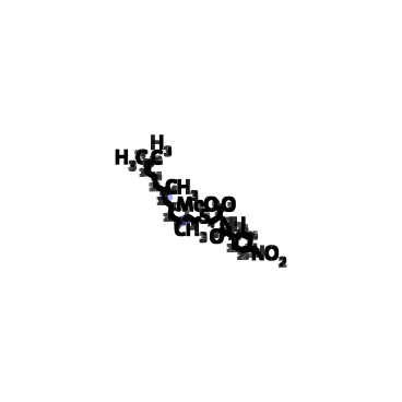 COC(=O)C(CSC/C=C(\C)CC/C=C(\C)CCC=C(C)C)NC(=O)c1ccc([N+](=O)[O-])cc1